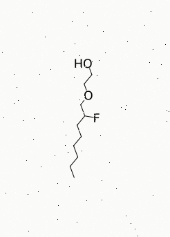 CCCCCCC(F)COCCO